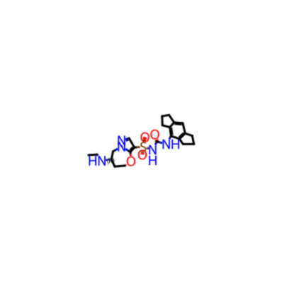 CCN[C@@H]1CCOc2c(S(=O)(=O)NC(=O)Nc3c4c(cc5c3CCC5)CCC4)cnn2C1